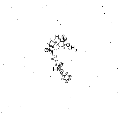 COc1ccc(-c2cccc3c2CN(CCCCCC(=O)NOCc2ccccc2)C3=O)cc1OC